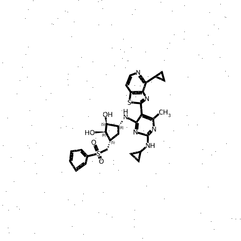 Cc1nc(NC2CC2)nc(N[C@@H]2C[C@H](CS(=O)(=O)c3ccccc3)[C@@H](O)[C@H]2O)c1-c1nc2c(C3CC3)nccc2s1